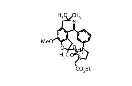 CCOC(=O)CN1CCN(c2cccc(C3=NC(C)(C)Cc4cc(OC)c5c(c43)CC(C)(C)O5)c2)S1(=O)=O